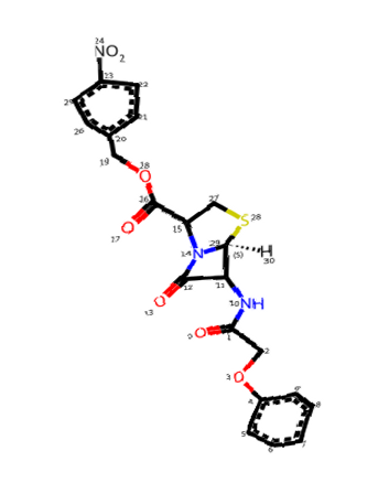 O=C(COc1ccccc1)NC1C(=O)N2C(C(=O)OCc3ccc([N+](=O)[O-])cc3)CS[C@@H]12